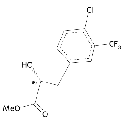 COC(=O)[C@H](O)Cc1ccc(Cl)c(C(F)(F)F)c1